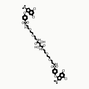 CN(C)[C@H]1Cc2c(Cl)cc(Cl)cc2[C@@H]1Oc1ccc(S(=O)(=O)NCCOCCOCCNC(=O)[C@H](O)[C@@H](O)C(=O)NCCOCCOCCNS(=O)(=O)c2ccc(O[C@H]3c4cc(Cl)cc(Cl)c4C[C@@H]3N(C)C)cc2)cc1